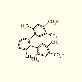 Cc1cc(-c2cccc(C)c2-c2cc(C)c(C(=O)O)cc2C)c(C)cc1C(=O)O